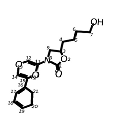 O=C1OC(CCCCO)CN1C1=COC=C(C2=CC=CCC2)O1